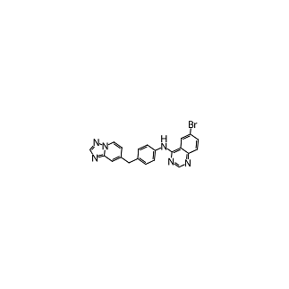 Brc1ccc2ncnc(Nc3ccc(Cc4ccn5ncnc5c4)cc3)c2c1